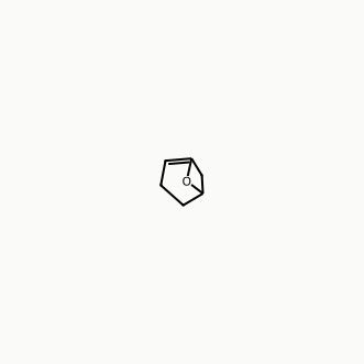 C1=C2CC(CC1)O2